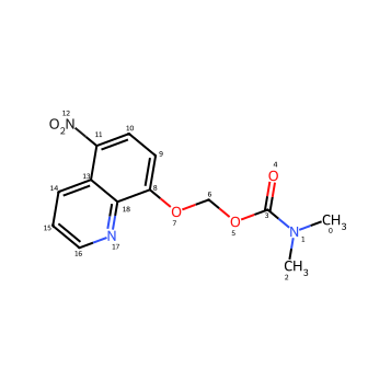 CN(C)C(=O)OCOc1ccc([N+](=O)[O-])c2cccnc12